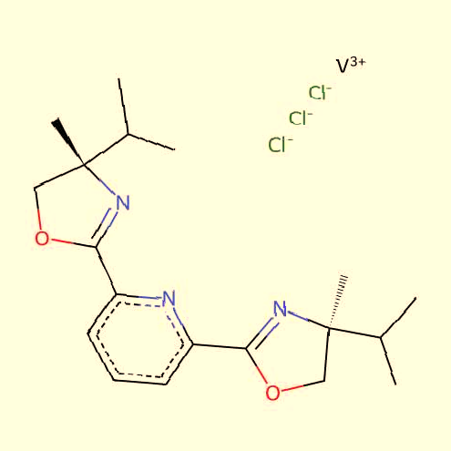 CC(C)[C@@]1(C)COC(c2cccc(C3=N[C@@](C)(C(C)C)CO3)n2)=N1.[Cl-].[Cl-].[Cl-].[V+3]